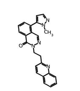 Cn1nccc1-c1cccc2c(=O)n(CCc3ccc4ccccc4n3)ncc12